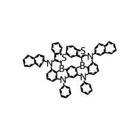 c1ccc(N2c3cc4c(cc3B3c5c2cccc5N(c2ccc5ccccc5c2)c2sc5ccccc5c23)B2c3sc5ccccc5c3N(c3ccc5ccccc5c3)c3cccc(c32)N4c2ccccc2)cc1